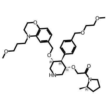 COCCCN1CCOc2ccc(CO[C@H]3CNC[C@@H](OCC(=O)N4CCC[C@H]4C)[C@@H]3c3ccc(COCCOC)cc3)cc21